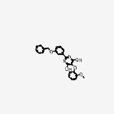 COc1ccccc1Oc1c(O)nc(-c2cccc(OCc3ccccc3)c2)nc1O